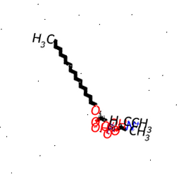 CCCCCCCCCCCCCCCCCCOC[C@H](CO[P@@](=O)(O)OCC[N+](C)(C)C)OO